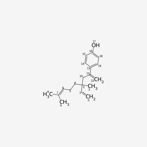 C=CC(C)(CCC=C(C)C)CC(=C)c1ccc(O)cc1